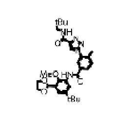 COc1c(NC(=O)c2ccc(C)c(-n3cc(C(=O)NCC(C)(C)C)nn3)c2)cc(C(C)(C)C)cc1C1OCCO1